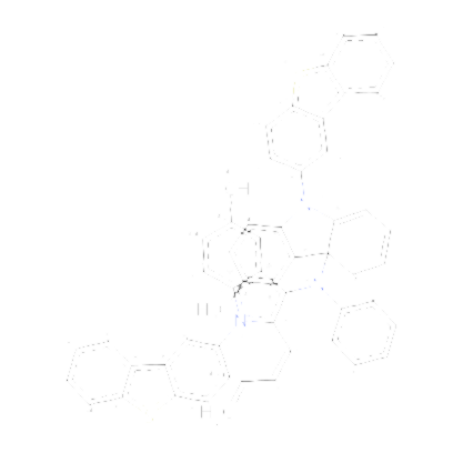 C=C/C=C\c1c(N(c2ccccc2)C23CC=CC=C2N(c2ccc4sc5ccccc5c4c2)c2ccc(C)cc23)c2cc(C)ccc2n1-c1ccc2sc3ccccc3c2c1